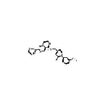 Cc1cccc(-c2ccc(CNc3nccc4cc(-c5cnccn5)ncc34)cc2F)c1